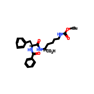 CC(C)(C)OC(=O)NCCCC[C@H](NC(=O)[C@H](Cc1ccccc1)NC(=O)c1ccccc1)C(=O)O